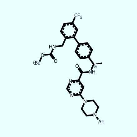 CC(=O)N1CCN(c2cc(C(=O)N[C@H](C)c3ccc(-c4cc(C(F)(F)F)ccc4CNC(=O)OC(C)(C)C)cc3)ncn2)CC1